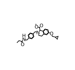 CCC(=O)NCc1ccc(CN2CCc3cc(OCC4CC4)ccc3C2C(=O)OC)cc1